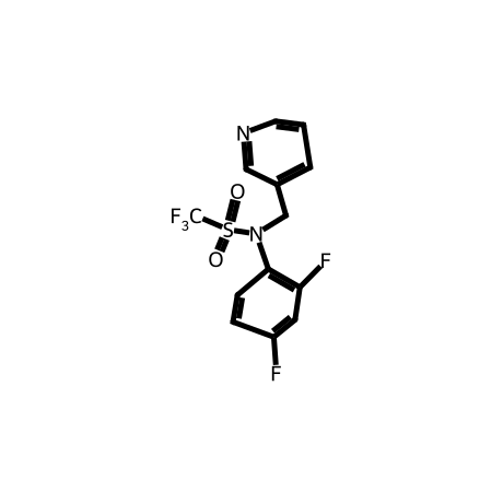 O=S(=O)(N(Cc1cccnc1)c1ccc(F)cc1F)C(F)(F)F